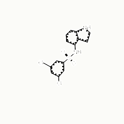 O=S(=O)(Nc1cccc2[nH]ccc12)c1cc(Cl)cc(Cl)c1